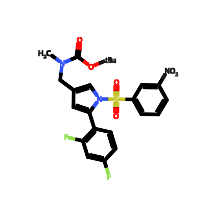 CN(Cc1cc(-c2ccc(F)cc2F)n(S(=O)(=O)c2cccc([N+](=O)[O-])c2)c1)C(=O)OC(C)(C)C